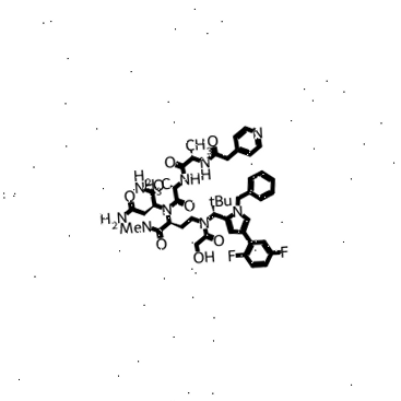 CNC(=O)[C@H](CCN(C(=O)CO)[C@@H](c1cc(-c2cc(F)ccc2F)cn1Cc1ccccc1)C(C)(C)C)N(C(=O)[C@H](C)NC(=O)[C@H](C)NC(=O)Cc1ccncc1)[C@@H](CC(N)=O)C(N)=O